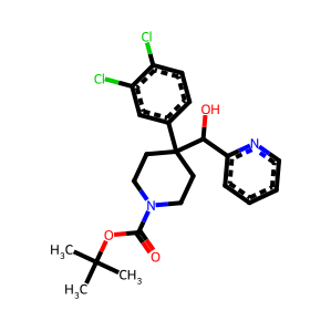 CC(C)(C)OC(=O)N1CCC(c2ccc(Cl)c(Cl)c2)(C(O)c2ccccn2)CC1